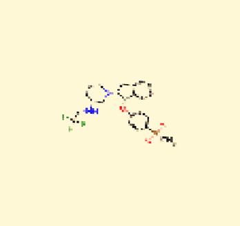 CS(=O)(=O)c1ccc(O[C@H]2c3ccccc3C[C@@H]2N2CCCC(NCC(F)(F)F)C2)cc1